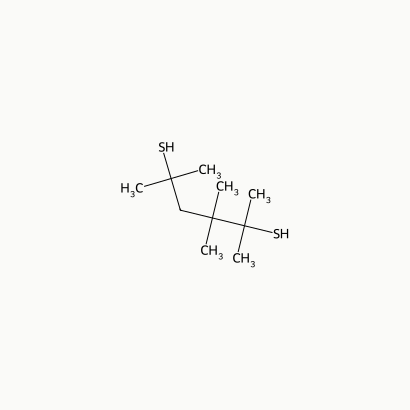 CC(C)(S)CC(C)(C)C(C)(C)S